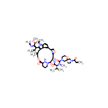 C=CC(=O)N1CC[C@]2(C1)CN(C(=O)N(C)[C@H](C(=O)N[C@H]1Cc3nc(cs3)-c3ccc4c(c3)c(c(/C(C=C)=C(/N=C\C)[C@H](C)OC)n4CC)CC(C)(C)COC(=O)[C@@H]3CCCN(N3)C1=O)C(C)C)CCO2